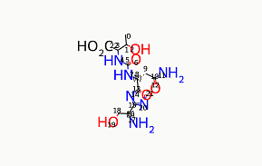 CC(O)C(NC(=O)N[C@H](CC(N)=O)c1nc([C@H](N)CO)no1)C(=O)O